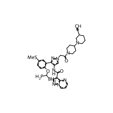 BC(P)Oc1ccc(SC)cc1-c1nn(CC(=O)N2CCC(N3CCCC(C#C)C3)CC2)cc1NC(=O)c1cnn2cccnc12